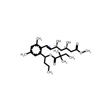 CCCC(OC(=O)C(C)(C)CC)c1cc(C)cc(C)c1/C=C/[C@@H](O)C[C@@H](O)CC(=O)OC